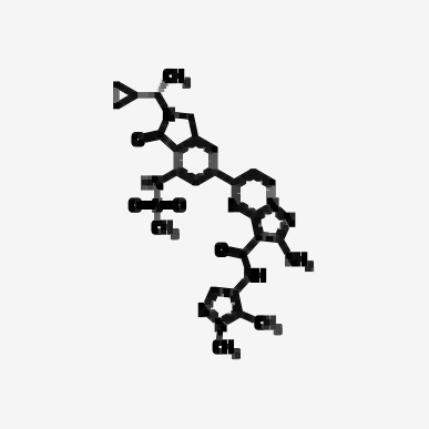 Cc1c(NC(=O)c2c(N)nn3ccc(-c4cc5c(c(NS(C)(=O)=O)c4)C(=O)N([C@@H](C)C4CC4)C5)nc23)cnn1C